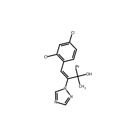 CC(C)C(C)(O)C(=Cc1ccc(Cl)cc1Cl)n1cncn1